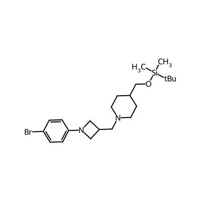 CC(C)(C)[Si](C)(C)OCC1CCN(CC2CN(c3ccc(Br)cc3)C2)CC1